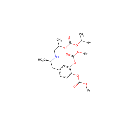 CC(C)OC(=O)Oc1ccc(C[C@H](NCC(C)OC(=O)OC(C)C(C)C)C(=O)O)cc1OC(=O)OC(C)C